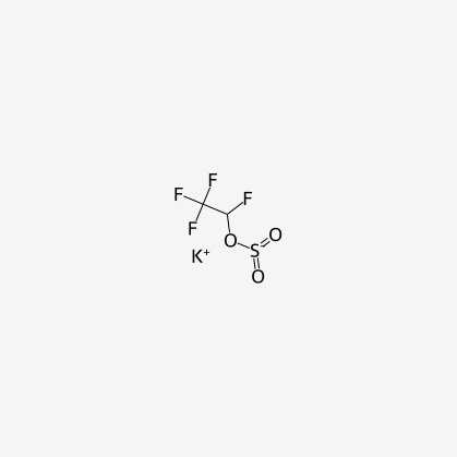 O=[S-](=O)OC(F)C(F)(F)F.[K+]